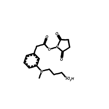 CN(CCCS(=O)(=O)O)c1cccc(CC(=O)ON2C(=O)CCC2=O)c1